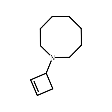 C1=CC(N2CCCCCCC2)C1